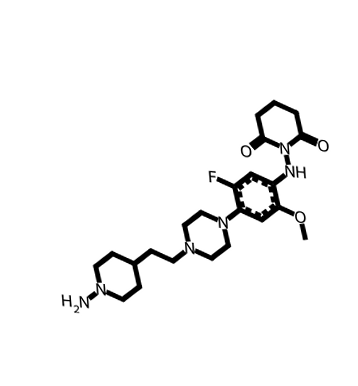 COc1cc(N2CCN(CCC3CCN(N)CC3)CC2)c(F)cc1NN1C(=O)CCCC1=O